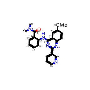 COc1ccc2nc(-c3cccnc3)nc(Nc3ccccc3C(=O)N(C)C)c2c1